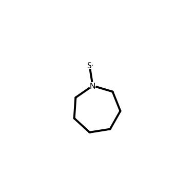 [S]N1CCCCCC1